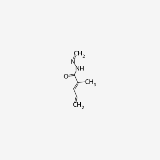 C=C/C=C(\C)C(=O)NN=C